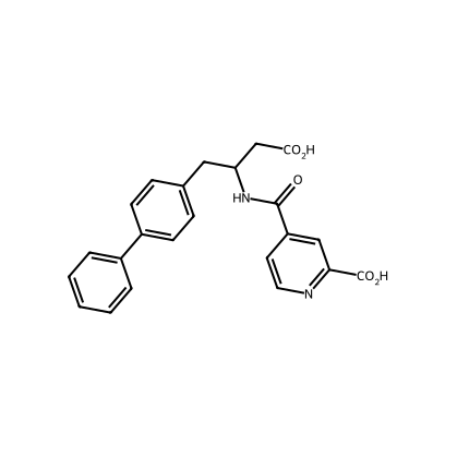 O=C(O)CC(Cc1ccc(-c2ccccc2)cc1)NC(=O)c1ccnc(C(=O)O)c1